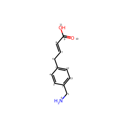 NCc1ccc(CC=CC(=O)O)cc1